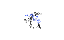 COC1N=C(NC2CC2)N=C(C(C)(C)C#N)N1N